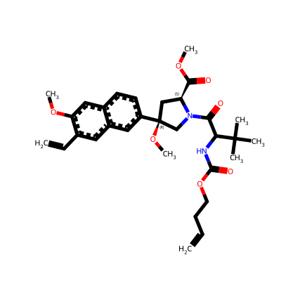 C=CCCOC(=O)NC(C(=O)N1C[C@](OC)(c2ccc3cc(OC)c(C=C)cc3c2)C[C@H]1C(=O)OC)C(C)(C)C